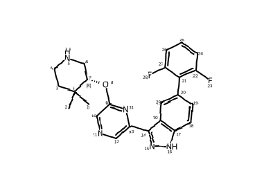 CC1(C)CCNC[C@@H]1Oc1cncc(-c2n[nH]c3ccc(-c4c(F)cccc4F)cc23)n1